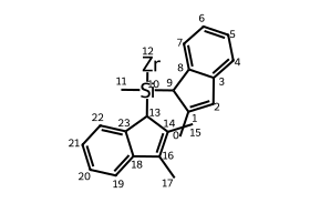 CC1=Cc2ccccc2C1[Si](C)([Zr])C1C(C)=C(C)c2ccccc21